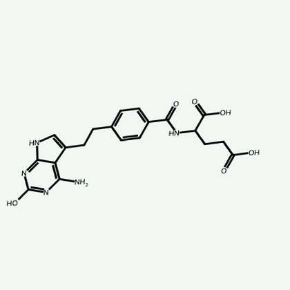 Nc1nc(O)nc2[nH]cc(CCc3ccc(C(=O)NC(CCC(=O)O)C(=O)O)cc3)c12